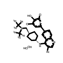 Cl.Cl.[2H]C([2H])([2H])N(C[C@H]1CC[C@H](Nc2c(C(C)=O)cnc3ccc(-c4cc(Cl)c(O)c(Cl)c4)cc23)CC1)C([2H])([2H])[2H]